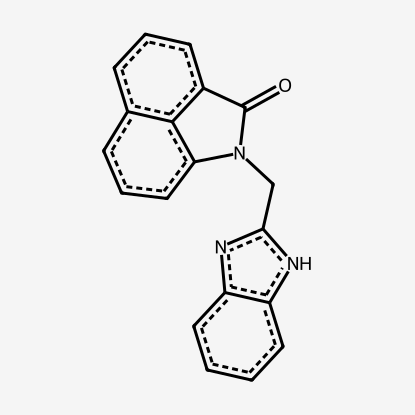 O=C1c2cccc3cccc(c23)N1Cc1nc2ccccc2[nH]1